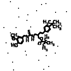 COc1cc(CNC(=S)NCC(CCc2ccc(C(C)(C)C)cc2)COC(=O)C(C)(C)C)ccc1O